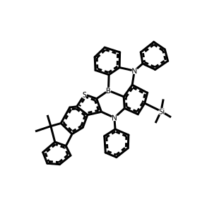 CC1(C)c2ccccc2-c2cc3c4c(sc3cc21)B1c2ccccc2N(c2ccccc2)c2cc([Si](C)(C)C)cc(c21)N4c1ccccc1